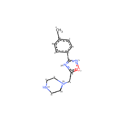 Cc1ccc(-c2noc(CN3CCNCC3)n2)cc1